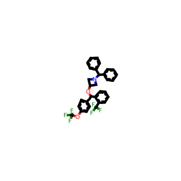 FC(F)(F)Oc1ccc(C(OC2CN(C(c3ccccc3)c3ccccc3)C2)c2ccccc2C(F)(F)F)cc1